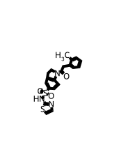 Cc1ccccc1CC(=O)N1CCc2cc(S(=O)(=O)Nc3nccs3)ccc21